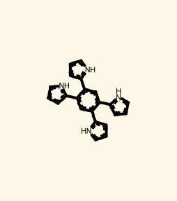 c1c[nH]c(-c2cc(-c3ccc[nH]3)c(-c3ccc[nH]3)cc2-c2ccc[nH]2)c1